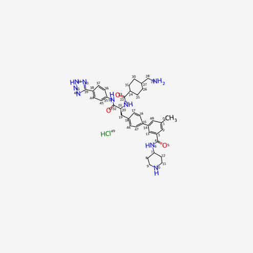 Cc1cc(C(=O)NC2CCNCC2)cc(-c2ccc(C[C@H](NC(=O)C3CCC(CN)CC3)C(=O)Nc3ccc(-c4nn[nH]n4)cc3)cc2)c1.Cl